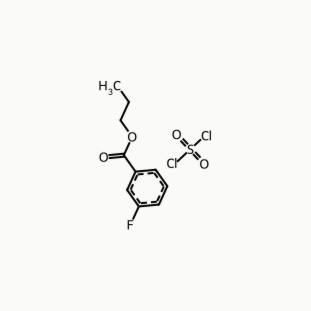 CCCOC(=O)c1cccc(F)c1.O=S(=O)(Cl)Cl